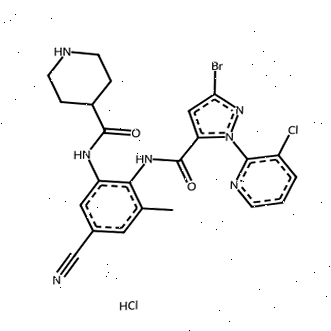 Cc1cc(C#N)cc(NC(=O)C2CCNCC2)c1NC(=O)c1cc(Br)nn1-c1ncccc1Cl.Cl